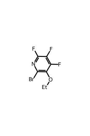 CCOc1c(Br)nc(F)c(F)c1F